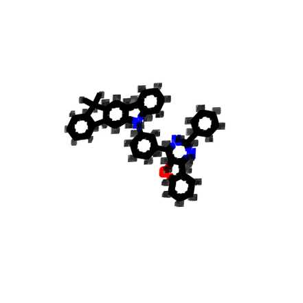 CC1(C)c2ccccc2-c2cc3c(cc21)c1ccccc1n3-c1cccc(-c2nc(-c3ccccc3)nc3c2oc2ccccc23)c1